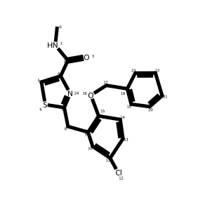 CNC(=O)c1csc(Cc2cc(Cl)ccc2OCc2ccccc2)n1